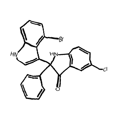 O=C1c2cc(Cl)ccc2NC1(c1ccccc1)c1c[nH]c2cccc(Br)c12